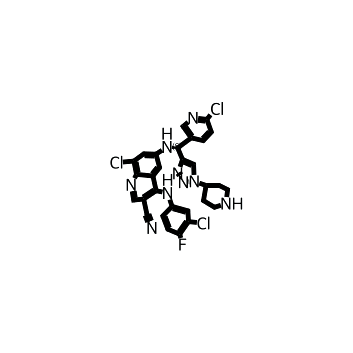 N#Cc1cnc2c(Cl)cc(N[C@@H](c3ccc(Cl)nc3)c3cn(C4CCNCC4)nn3)cc2c1Nc1ccc(F)c(Cl)c1